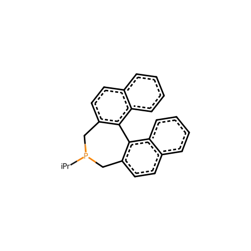 CC(C)P1Cc2ccc3ccccc3c2-c2c(ccc3ccccc23)C1